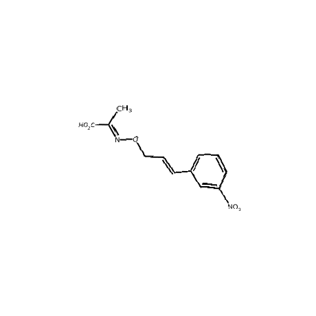 CC(=NOCC=Cc1cccc([N+](=O)[O-])c1)C(=O)O